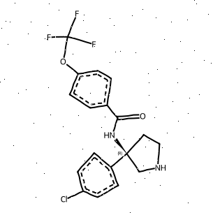 O=C(N[C@@]1(c2ccc(Cl)cc2)CCNC1)c1ccc(OC(F)(F)F)cc1